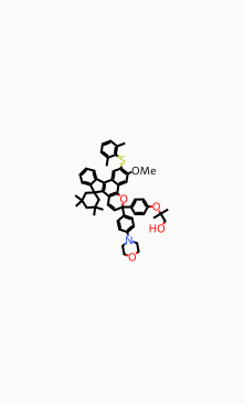 COc1cc2c3c(c4c(c2cc1Sc1c(C)cccc1C)-c1ccccc1C41CC(C)(C)CC(C)(C)C1)C=CC(c1ccc(OC(C)(C)CO)cc1)(c1ccc(N2CCOCC2)cc1)O3